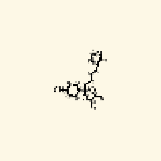 CC1OC(CCCCn2ccnc2)(c2ccc(Cl)cc2)OC1C